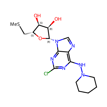 CSC[C@H]1O[C@@H](n2cnc3c(NN4CCCCC4)nc(Cl)nc32)[C@H](O)[C@@H]1O